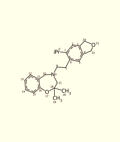 CC(C)c1cc2c(cc1CCN1Cc3ccccc3OC(C)(C)C1)COC2